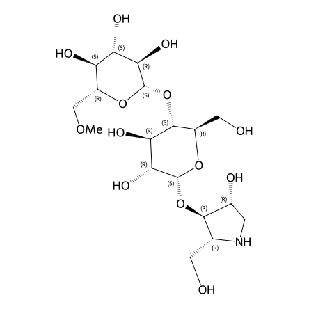 COC[C@H]1O[C@@H](O[C@H]2[C@H](O)[C@@H](O)[C@@H](O[C@H]3[C@H](O)CN[C@@H]3CO)O[C@@H]2CO)[C@H](O)[C@@H](O)[C@@H]1O